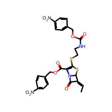 CC=C1C(=O)N2C(C(=O)OCc3ccc([N+](=O)[O-])cc3)=C(SCCNC(=O)OCc3ccc([N+](=O)[O-])cc3)SC12